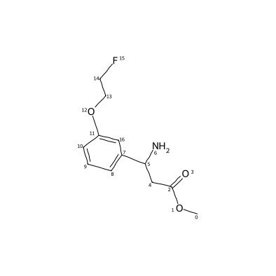 COC(=O)CC(N)c1cccc(OCCF)c1